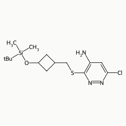 CC(C)(C)[Si](C)(C)OC1CC(CSc2nnc(Cl)cc2N)C1